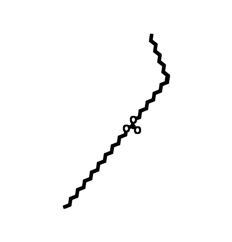 CCCCCCCC/C=C\CCCCCCCCOC(=O)OCCCCCCCCCCCCCCCCCC